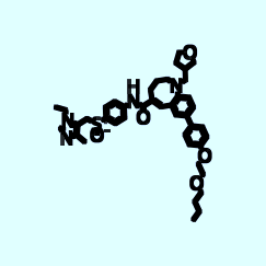 CCCCOCCOc1ccc(-c2ccc3c(c2)/C=C(/C(=O)Nc2ccc([S+]([O-])Cc4c(C)ncn4CC)cc2)CCCN3CC2CCOC2)cc1